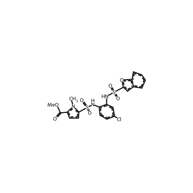 COC(=O)c1ccc(S(=O)(=O)Nc2ccc(Cl)cc2NS(=O)(=O)c2cc3ccccc3o2)n1C